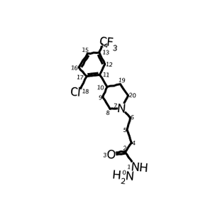 NNC(=O)CCCN1CCC(c2cc(C(F)(F)F)ccc2Cl)CC1